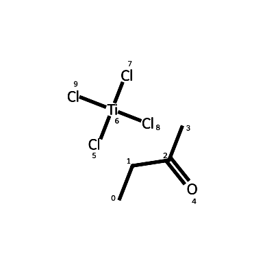 CCC(C)=O.[Cl][Ti]([Cl])([Cl])[Cl]